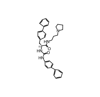 O=C(Nc1ccc(-c2ccccc2)cc1)N[C@@H](Cc1ccc(-c2ccccc2)cc1)C(=O)NCCCN1CCCC1